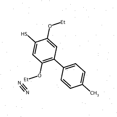 CCOc1cc(-c2ccc(C)cc2)c(OCC)cc1S.N#N